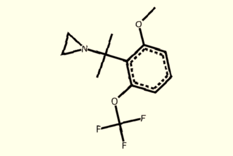 COc1cccc(OC(F)(F)F)c1C(C)(C)N1CC1